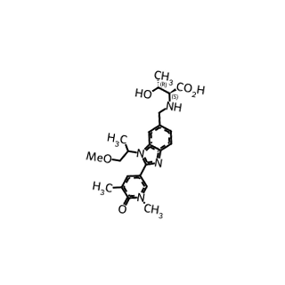 COCC(C)n1c(-c2cc(C)c(=O)n(C)c2)nc2ccc(CN[C@H](C(=O)O)[C@@H](C)O)cc21